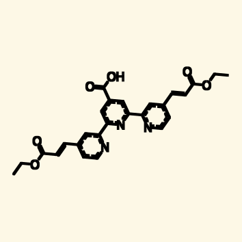 CCOC(=O)/C=C/c1ccnc(-c2cc(C(=O)O)cc(-c3cc(/C=C/C(=O)OCC)ccn3)n2)c1